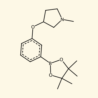 CN1CCC(Oc2cccc(B3OC(C)(C)C(C)(C)O3)c2)C1